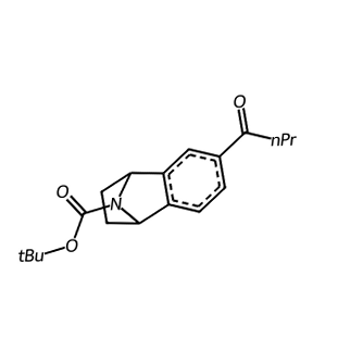 CCCC(=O)c1ccc2c(c1)C1CCC2N1C(=O)OC(C)(C)C